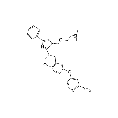 C[Si](C)(C)CCOCn1cc(-c2ccccc2)nc1C1COc2ccc(Oc3ccnc(N)c3)cc2C1